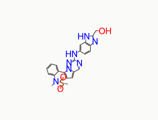 CN(c1ccccc1-c1ccc2cnc(Nc3ccc4nc(CO)[nH]c4c3)nn12)S(C)(=O)=O